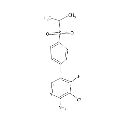 CC(C)S(=O)(=O)c1ccc(-c2cnc(N)c(Cl)c2F)cc1